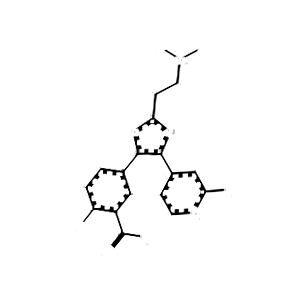 Cc1ccc(-c2nc(CCN(C)C)[nH]c2-c2ccnc(O)c2)cc1C(=O)O